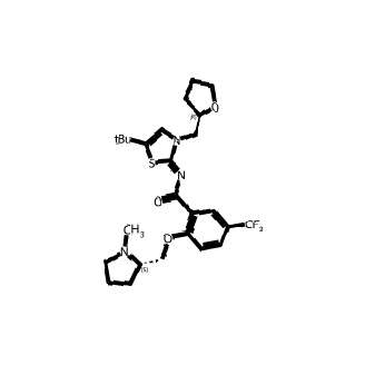 CN1CCC[C@H]1COc1ccc(C(F)(F)F)cc1C(=O)N=c1sc(C(C)(C)C)cn1C[C@H]1CCCO1